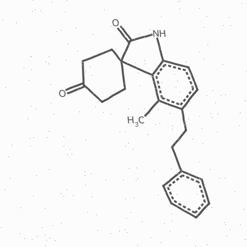 Cc1c(CCc2ccccc2)ccc2c1C1(CCC(=O)CC1)C(=O)N2